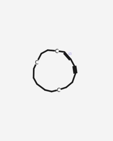 C1#CCCCCCCCCCCC[CH]/C=C\1